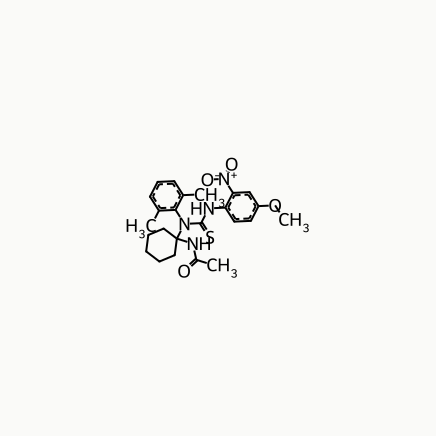 COc1ccc(NC(=S)N(c2c(C)cccc2C)C2(NC(C)=O)CCCCC2)c([N+](=O)[O-])c1